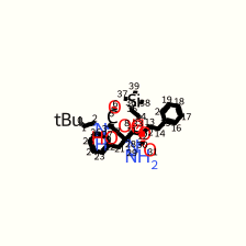 CC(C)(C)CCNC(=C=O)C(O)(O)C(CCCCc1ccccc1)(Cc1ccccc1)N(N)C(=O)OOCC[Si](C)(C)C